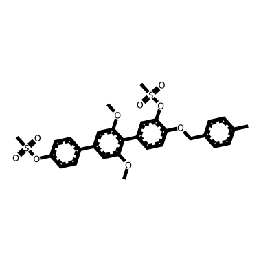 COc1cc(-c2ccc(OS(C)(=O)=O)cc2)cc(OC)c1-c1ccc(OCc2ccc(C)cc2)c(OS(C)(=O)=O)c1